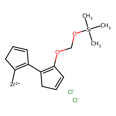 C[Si](C)(C)OCOC1=C(C2=[C]([Zr+2])CC=C2)CC=C1.[Cl-].[Cl-]